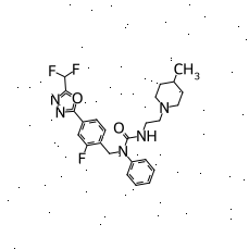 CC1CCN(CCNC(=O)N(Cc2ccc(-c3nnc(C(F)F)o3)cc2F)c2ccccc2)CC1